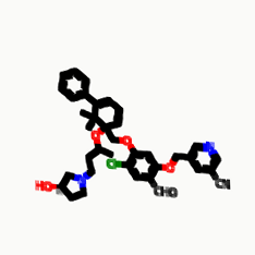 CC(CCN1CC[C@@H](O)C1)OC1(COc2cc(OCc3cncc(C#N)c3)c(C=O)cc2Cl)C=CC=C(c2ccccc2)C1(C)C